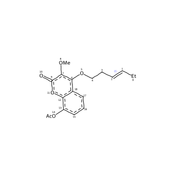 CC/C=C/CCOc1c(OC)c(=O)oc2c(OC(C)=O)cccc12